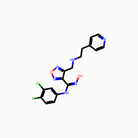 O/N=C(/Nc1ccc(F)c(Cl)c1)c1nonc1CNCCc1ccncc1